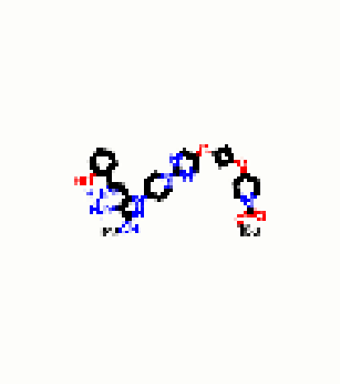 CC(C)Nc1nn(C2CCN(c3ncc(O[C@H]4C[C@H](OC5CCN(C(=O)OC(C)(C)C)CC5)C4)cn3)CC2)c(/C=C(\N)c2ccccc2O)c1N